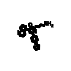 NCCCCn1nc(-c2ccc(N3C=CCC3)cc2)cc(-c2cccc3ncccc23)c1=O